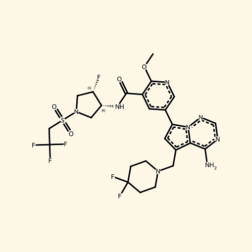 COc1ncc(-c2cc(CN3CCC(F)(F)CC3)c3c(N)ncnn23)cc1C(=O)N[C@@H]1CN(S(=O)(=O)CC(F)(F)F)C[C@@H]1F